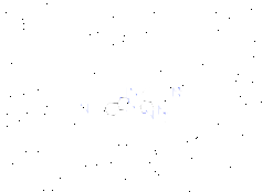 C/C=C(/Nc1cc2cc(C3=CN=CC3)ccc2cn1)c1ccnc(N(C)C2CCN(C)CC2)c1